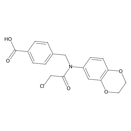 O=C(O)c1ccc(CN(C(=O)CCl)c2ccc3c(c2)OCCO3)cc1